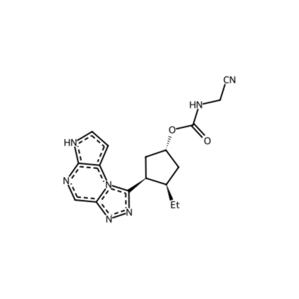 CC[C@@H]1C[C@@H](OC(=O)NCC#N)C[C@@H]1c1nnc2cnc3[nH]ccc3n12